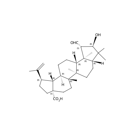 C=C(C)[C@@H]1CC[C@]2(C(=O)O)CC[C@]3(C)[C@H](CC[C@@H]4[C@@]5(C)[C@H](C=O)[C@@H](O)C(C)(C)[C@@H]5CC[C@]43C)[C@@H]12